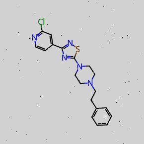 Clc1cc(-c2nsc(N3CCN(CCc4ccccc4)CC3)n2)ccn1